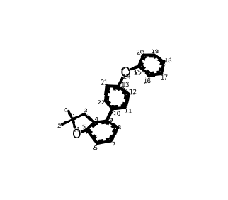 CC1(C)Cc2c(cccc2-c2ccc(Oc3ccccc3)cc2)O1